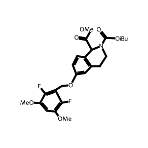 COC(=O)C1c2ccc(OCc3c(F)c(OC)cc(OC)c3F)cc2CCN1C(=O)OCC(C)C